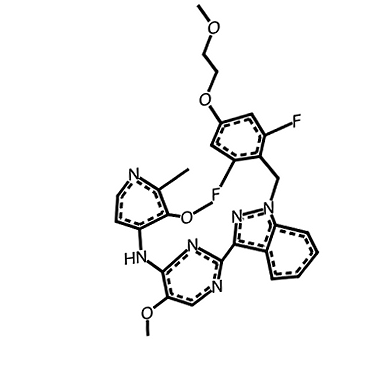 COCCOc1cc(F)c(Cn2nc(-c3ncc(OC)c(Nc4ccnc(C)c4OC)n3)c3ccccc32)c(F)c1